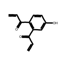 C=CC(=O)c1ccc(O)cc1C(=O)C=C